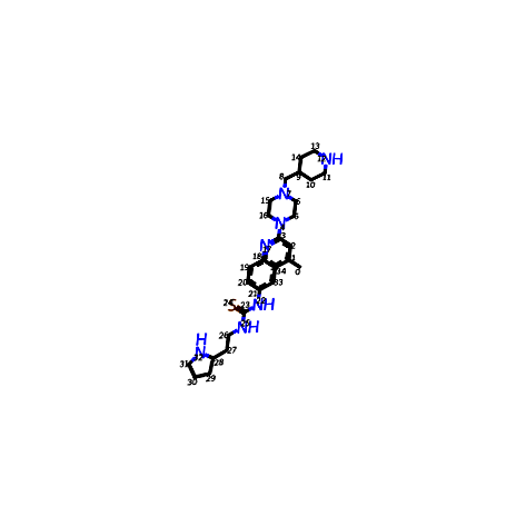 Cc1cc(N2CCN(CC3CCNCC3)CC2)nc2ccc(NC(=S)NCCC3CCCN3)cc12